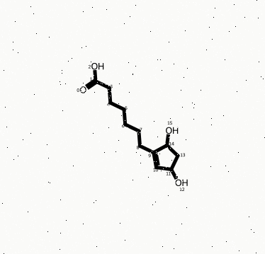 O=C(O)CCCCCCC1=CC(O)CC1O